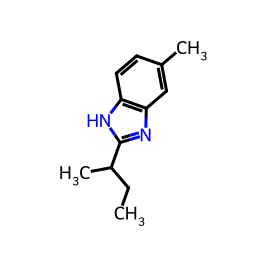 CCC(C)c1nc2cc(C)ccc2[nH]1